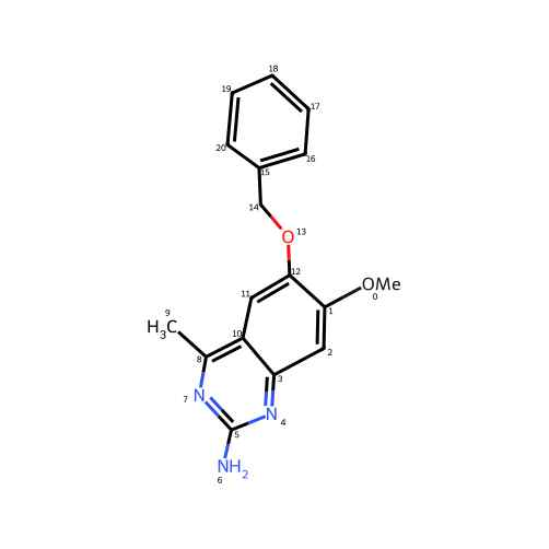 COc1cc2nc(N)nc(C)c2cc1OCc1ccccc1